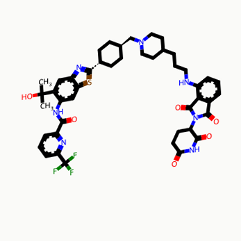 CC(C)(O)c1cc2nc([C@H]3CC[C@H](CN4CCC(CCCNc5cccc6c5C(=O)N(C5CCC(=O)NC5=O)C6=O)CC4)CC3)sc2cc1NC(=O)c1cccc(C(F)(F)F)n1